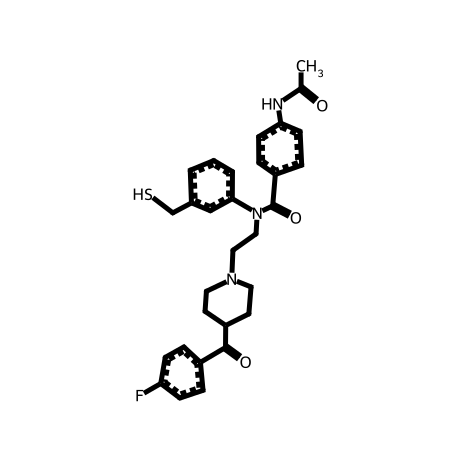 CC(=O)Nc1ccc(C(=O)N(CCN2CCC(C(=O)c3ccc(F)cc3)CC2)c2cccc(CS)c2)cc1